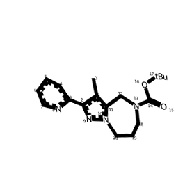 Cc1c(-c2ccccn2)nn2c1CN(C(=O)OC(C)(C)C)CCC2